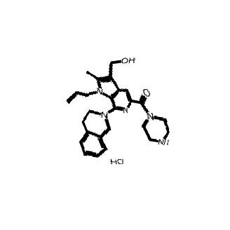 C=CCn1c(C)c(CO)c2cc(C(=O)N3CCNCC3)nc(N3CCc4ccccc4C3)c21.Cl